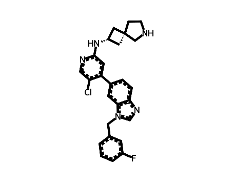 Fc1cccc(Cn2cnc3ccc(-c4cc(N[C@H]5C[C@@]6(CCNC6)C5)ncc4Cl)cc32)c1